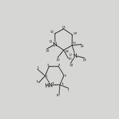 CC1(C)CCCC(C)(C)N1.CN1CCCC(C)(N(C)C)C1(C)C